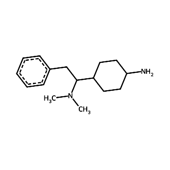 CN(C)C(Cc1ccccc1)C1CCC(N)CC1